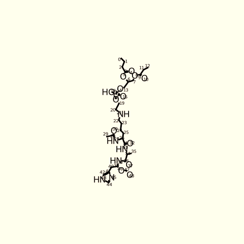 CCCC(=O)OC(COC(=O)CC)COP(=O)(O)OCCNCCCCC(NC(C)=O)C(=O)NC(C)C(=O)NC(Cc1c[nH]cn1)OC=O